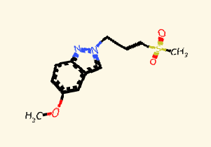 COc1ccc2nn(CCCS(C)(=O)=O)cc2c1